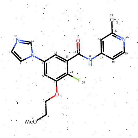 COCCOc1cc(-n2ccnc2)cc(C(=O)Nc2ccnc(C(F)(F)F)c2)c1F